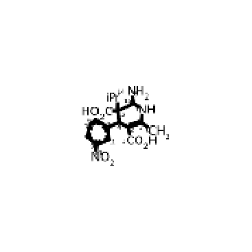 CC1=C(C(=O)O)C(c2cccc([N+](=O)[O-])c2)C(C(=O)O)(C(C)C)C(N)N1